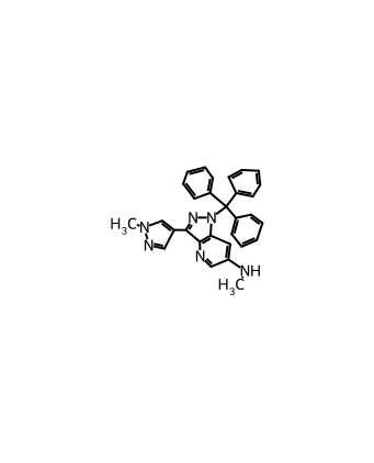 CNc1cnc2c(-c3cnn(C)c3)nn(C(c3ccccc3)(c3ccccc3)c3ccccc3)c2c1